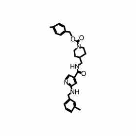 Cc1ccc(COC(=O)N2CCC(CNC(=O)c3ccnc(NCc4cccc(C)c4)c3)CC2)cc1